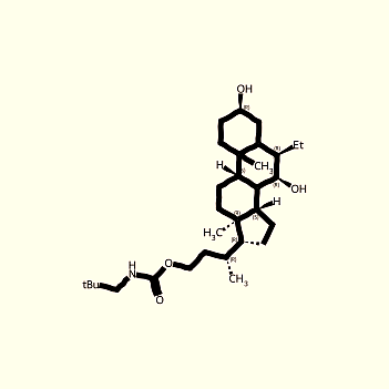 CC[C@@H]1C2C[C@H](O)CCC2(C)[C@H]2CC[C@]3(C)[C@@H]([C@H](C)CCOC(=O)NCC(C)(C)C)CC[C@H]3C2[C@@H]1O